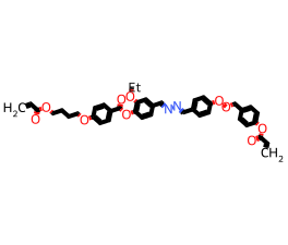 C=CC(=O)OCCCCOc1ccc(C(=O)Oc2ccc(/C=N/N=C/c3ccc(OOCc4ccc(OC(=O)C=C)cc4)cc3)cc2OCC)cc1